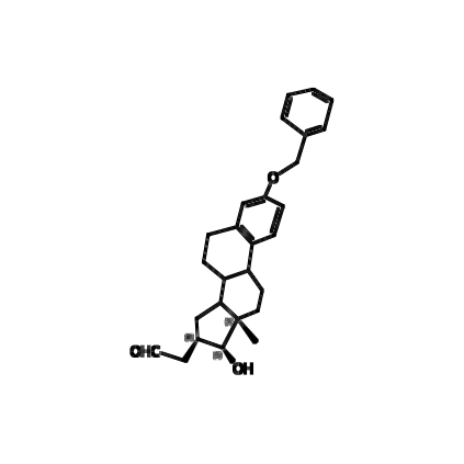 C[C@]12CCC3c4ccc(OCc5ccccc5)cc4CCC3C1C[C@H](CC=O)[C@@H]2O